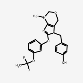 CN1COCc2c1nc(Oc1cccc(OC(C)(F)F)c1)n2Cc1ccc(O)cc1